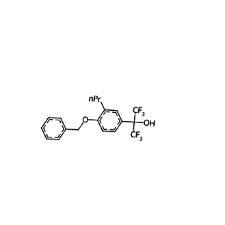 CCCc1cc(C(O)(C(F)(F)F)C(F)(F)F)ccc1OCc1ccccc1